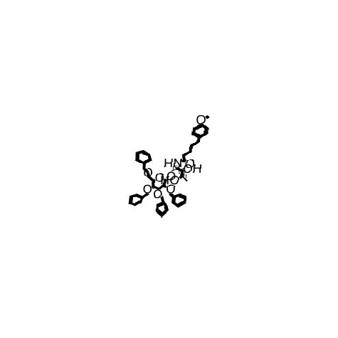 COc1ccc(CCCCC(=O)N[C@@H](COC2OC(COCc3ccccc3)C(OCc3ccccc3)C(OCc3ccccc3)C2OCc2ccccc2)[C@H](O)[C@@H](C)O)cc1